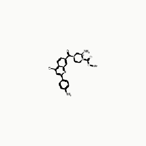 CCCOC(=O)N1CCN(C(=O)c2ccc3c(Cl)cc(-c4ccc(N)cc4)nc3c2)C[C@H]1N